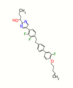 C=CCCCOc1ccc(-c2ccc(CCc3ccc(-c4cnc(C(O)CCC)nc4)c(F)c3F)cc2)cc1F